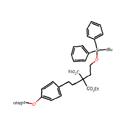 CCCCCCCOc1ccc(CCC(CCO[Si](c2ccccc2)(c2ccccc2)C(C)(C)C)(C(=O)OCC)C(=O)OCC)cc1